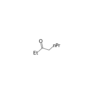 C[CH]CCC(=O)CC